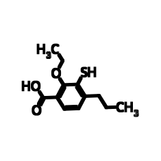 CCCc1ccc(C(=O)O)c(OCC)c1S